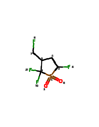 O=S1(=O)C(F)CC(CF)C1(F)F